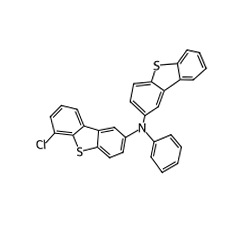 Clc1cccc2c1sc1ccc(N(c3ccccc3)c3ccc4sc5ccccc5c4c3)cc12